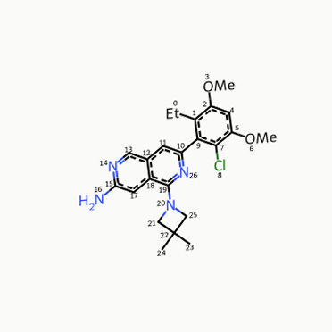 CCc1c(OC)cc(OC)c(Cl)c1-c1cc2cnc(N)cc2c(N2CC(C)(C)C2)n1